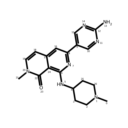 CN1CCC(Nc2nc(-c3cnc(N)nc3)cc3ccn(C)c(=O)c23)CC1